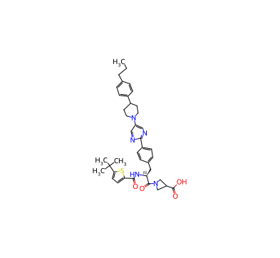 CCCc1ccc(C2CCN(c3cnc(-c4ccc(C[C@H](NC(=O)c5ccc(C(C)(C)C)s5)C(=O)N5CC(C(=O)O)C5)cc4)nc3)CC2)cc1